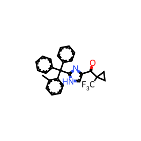 Cc1ccccc1C(c1ccccc1)(c1ccccc1)c1nc(C(=O)C2(C(F)(F)F)CC2)c[nH]1